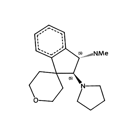 CN[C@H]1c2ccccc2C2(CCOCC2)[C@@H]1N1CCCC1